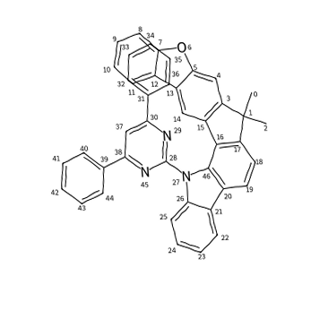 CC1(C)c2cc3oc4ccccc4c3cc2-c2c1ccc1c3ccccc3n(-c3nc(-c4ccccc4)cc(-c4ccccc4)n3)c21